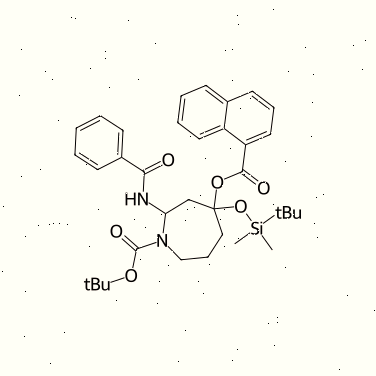 CC(C)(C)OC(=O)N1CCCC(OC(=O)c2cccc3ccccc23)(O[Si](C)(C)C(C)(C)C)CC1NC(=O)c1ccccc1